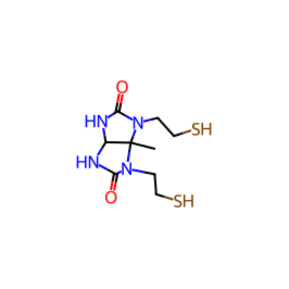 CC12C(NC(=O)N1CCS)NC(=O)N2CCS